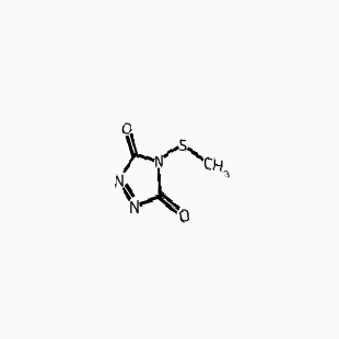 CSN1C(=O)N=NC1=O